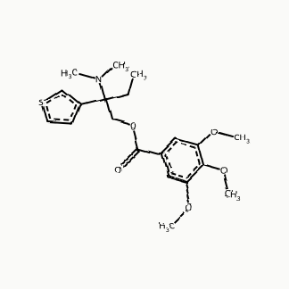 CCC(COC(=O)c1cc(OC)c(OC)c(OC)c1)(c1ccsc1)N(C)C